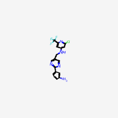 Nc1cccc(-c2ncc(CNc3cc(Cl)nc(C(F)(F)F)c3)cn2)c1